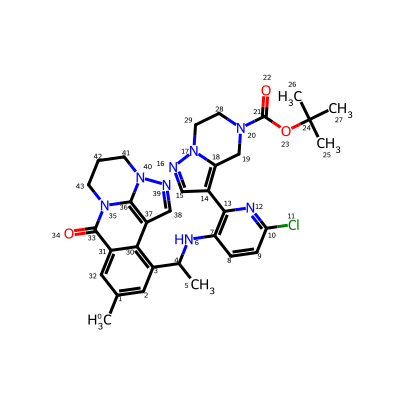 Cc1cc(C(C)Nc2ccc(Cl)nc2-c2cnn3c2CN(C(=O)OC(C)(C)C)CC3)c2c(c1)c(=O)n1c3c2cnn3CCC1